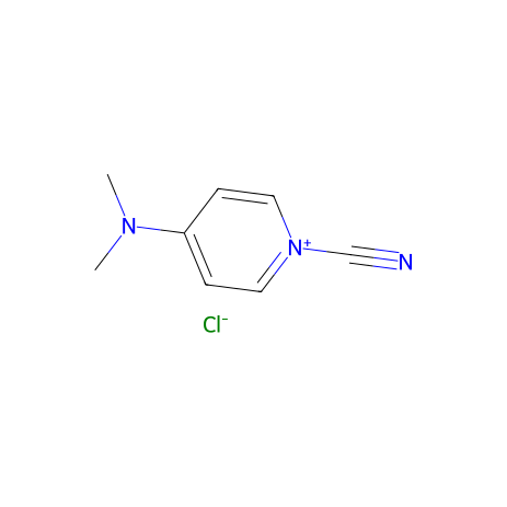 CN(C)c1cc[n+](C#N)cc1.[Cl-]